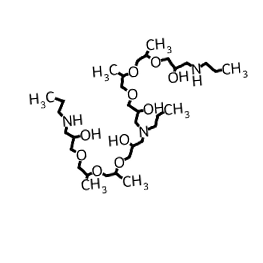 CCCNCC(O)COCC(C)OCC(C)OCC(O)CN(CCC)CC(O)COCC(C)OCC(C)OCC(O)CNCCC